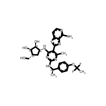 Cc1nc(N[C@H](C)c2ccc(OC(C)(F)F)cc2)nc(N[C@@H]2C[C@H](CO)[C@@H](O)[C@H]2O)c1-c1nc2c(N)nccc2s1